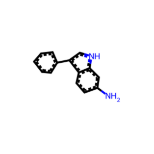 Nc1ccc2c(-c3ccccc3)c[nH]c2c1